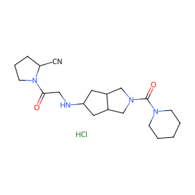 Cl.N#CC1CCCN1C(=O)CNC1CC2CN(C(=O)N3CCCCC3)CC2C1